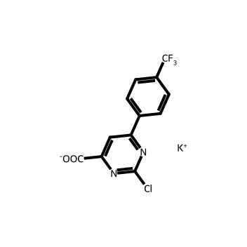 O=C([O-])c1cc(-c2ccc(C(F)(F)F)cc2)nc(Cl)n1.[K+]